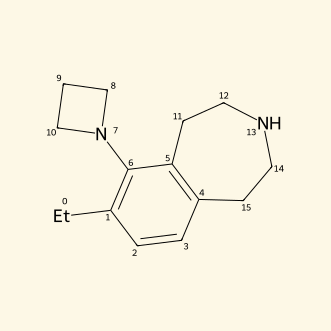 CCc1ccc2c(c1N1CCC1)CCNCC2